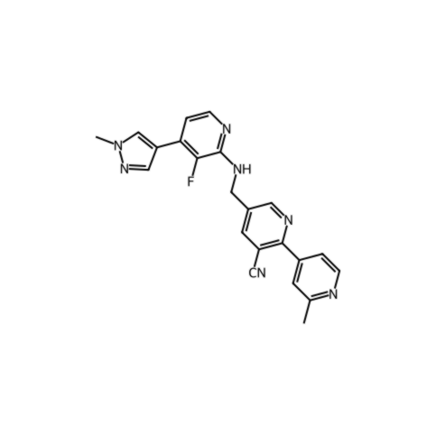 Cc1cc(-c2ncc(CNc3nccc(-c4cnn(C)c4)c3F)cc2C#N)ccn1